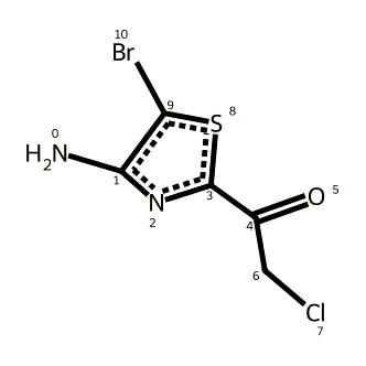 Nc1nc(C(=O)CCl)sc1Br